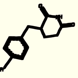 CC(C)c1ccc(CC2CCC(=O)NC2=O)cc1